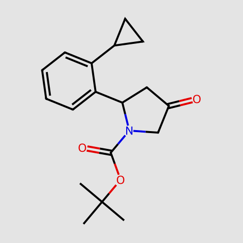 CC(C)(C)OC(=O)N1CC(=O)CC1c1ccccc1C1CC1